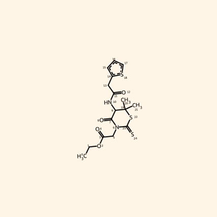 CCOC(=O)CN1C(=O)C(NC(=O)Cc2cccs2)C(C)(C)SC1=S